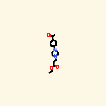 CCOC(=O)CCN1CCN(c2ccc(C(C)=O)cc2)CC1